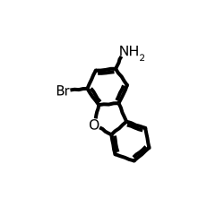 Nc1cc(Br)c2oc3ccccc3c2c1